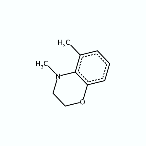 Cc1cccc2c1N(C)CCO2